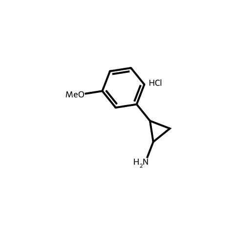 COc1cccc(C2CC2N)c1.Cl